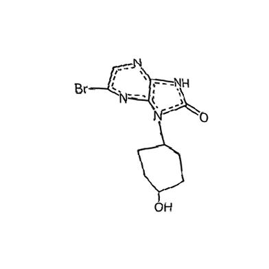 O=c1[nH]c2ncc(Br)nc2n1C1CCC(O)CC1